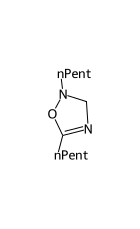 CCCCCC1=NCN(CCCCC)O1